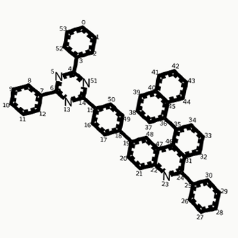 c1ccc(-c2nc(-c3ccccc3)nc(-c3ccc(-c4ccc5nc(-c6ccccc6)c6cccc(-c7cccc8ccccc78)c6c5c4)cc3)n2)cc1